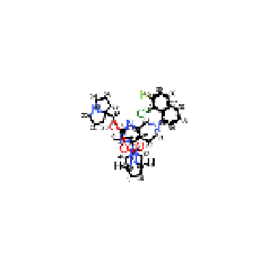 CC(C)(C)OC(=O)N1[C@@H]2CC[C@H]1CN(c1nc(OCC34CCCN3CCC4)nc3c1CCN(c1cccc4ccc(F)c(Cl)c14)C3)C2